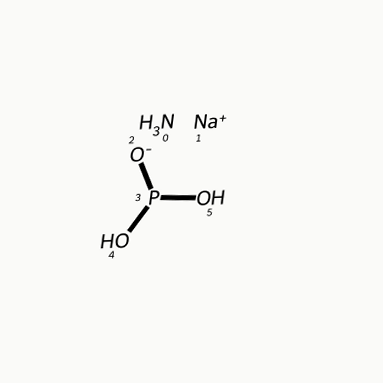 N.[Na+].[O-]P(O)O